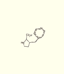 O=C(O)C1NCCC1Cc1ccncc1